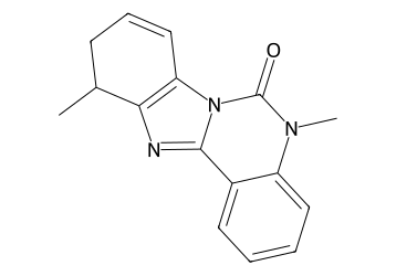 CC1CC=Cc2c1nc1c3ccccc3n(C)c(=O)n21